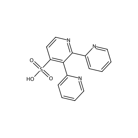 O=S(=O)(O)c1ccnc(-c2ccccn2)c1-c1ccccn1